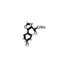 COC(=O)c1ncoc1-c1ccc(Cl)cc1